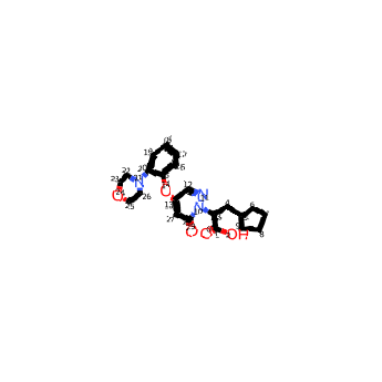 O=C(O)C(CC1CCCC1)n1ncc(Oc2ccccc2N2CCOCC2)cc1=O